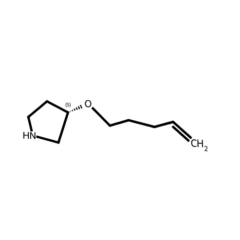 C=CCCCO[C@H]1CCNC1